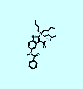 CCC[CH2][Sn]([CH2]CCC)([CH2]CCC)[c]1[nH]c2ccc(N(C)C(=O)c3ccccc3)cc2c1C(=O)O